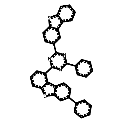 c1ccc(-c2ccc3c(c2)oc2cccc(-c4nc(-c5ccccc5)nc(-c5ccc6sc7ccccc7c6c5)n4)c23)cc1